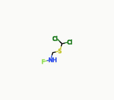 FNCSC(Cl)Cl